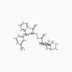 O=C(CCNC(=O)c1ccccc1Nc1cccc(C(F)(F)F)c1)NC1CC2CCC(C1)N2C(=O)O